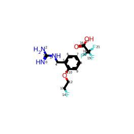 N=C(N)NCc1ccccc1OCCF.O=C(O)C(F)(F)F